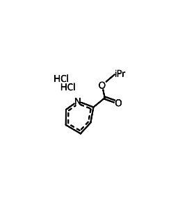 CC(C)OC(=O)c1ccccn1.Cl.Cl